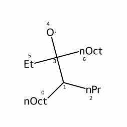 CCCCCCCCC(CCC)C([O])(CC)CCCCCCCC